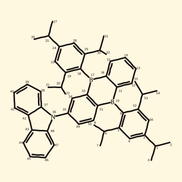 CC(C)c1cc(C(C)C)c(B2c3ccccc3B(c3c(C(C)C)cc(C(C)C)cc3C(C)C)c3cc(-n4c5ccccc5c5ccccc54)ccc32)c(C(C)C)c1